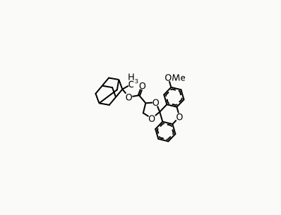 COc1ccc2c(c1)C1(OCC(C(=O)OC3(C)C4CC5CC(C4)CC3C5)O1)c1ccccc1O2